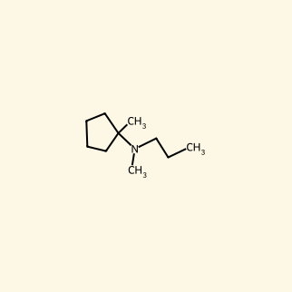 CCCN(C)C1(C)CCCC1